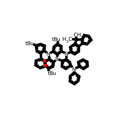 CC(C)(C)c1ccc2c(c1)B1c3ccc(N(c4ccccc4)c4ccccc4)cc3N(c3ccc4c(c3)C(C)(C)c3ccccc3-4)c3cc(C(C)(C)C)cc(c31)N2c1ccc(C(C)(C)C)cc1-c1ccccc1